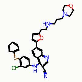 N#Cc1cnc2cc(-c3ccc(CCNCCCN4CCOCC4)o3)ccc2c1Nc1ccc(Sc2ccccc2)c(Cl)c1